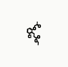 CCOC(=O)CCc1c(Cl)cccc1OCC(C)=O